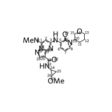 CNc1cc(Nc2cccn([C@H]3CCCOC3)c2=O)nc2c(C(=O)NC3CC3OC)cnn12